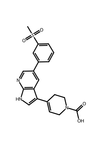 CS(=O)(=O)c1cccc(-c2cnc3[nH]cc(C4=CCN(C(=O)O)CC4)c3c2)c1